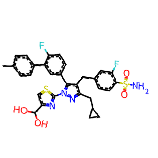 Cc1ccc(-c2cc(-c3c(Cc4ccc(S(N)(=O)=O)c(F)c4)c(CC4CC4)nn3-c3nc(C(O)O)cs3)ccc2F)cc1